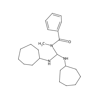 CN(C(=O)c1ccccc1)C(NC1CCCCCC1)NC1CCCCCC1